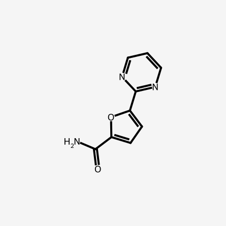 NC(=O)c1ccc(-c2ncccn2)o1